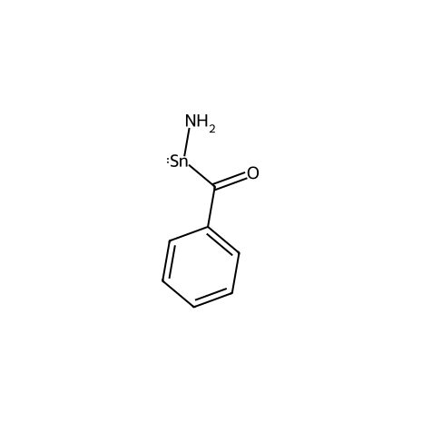 [NH2][Sn][C](=O)c1ccccc1